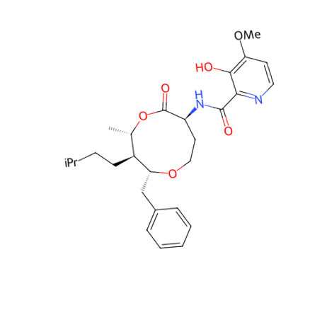 COc1ccnc(C(=O)N[C@H]2CCO[C@H](Cc3ccccc3)[C@@H](CCC(C)C)[C@H](C)OC2=O)c1O